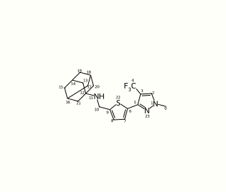 Cn1cc(C(F)(F)F)c(-c2ccc(CNC34CC5CC(CC(C5)C3)C4)s2)n1